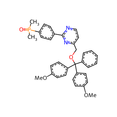 COc1ccc(C(OCc2ccnc(-c3ccc(P(C)(C)=O)cc3)n2)(c2ccccc2)c2ccc(OC)cc2)cc1